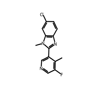 Cc1c(F)cncc1-c1nc2ccc(Cl)cc2n1C